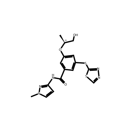 C[C@@H](CO)Oc1cc(Sc2nncs2)cc(C(=O)Nc2ccn(C)n2)c1